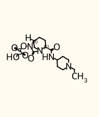 CCN1CCC(NC(=O)[C@@H]2CC[C@@H]3CN2C(=O)N3OS(=O)(=O)O)CC1